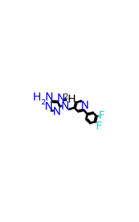 [2H]c1cnc(-c2ccc(F)c(F)c2)cc1Cn1cnc2c(N)ncnc21